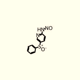 O=NNc1ccc([S+]([O-])c2ccccc2)cn1